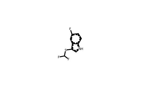 Fc1ccc2[nH]cc(SC(F)F)c2c1